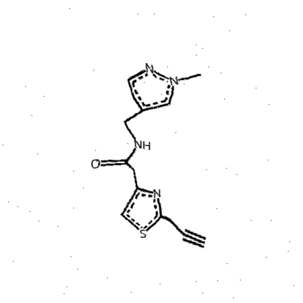 C#Cc1nc(C(=O)NCc2cnn(C)c2)cs1